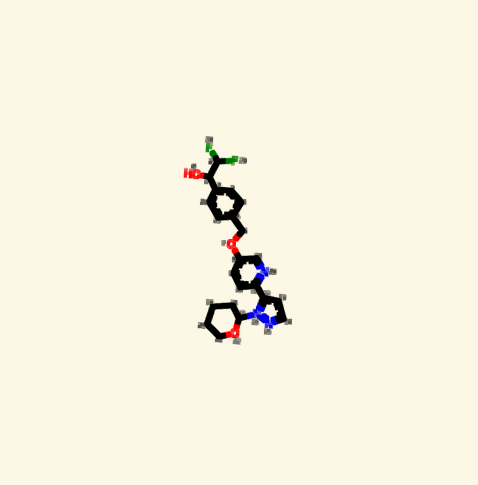 OC(c1ccc(COc2ccc(-c3ccnn3C3CCCCO3)nc2)cc1)C(F)F